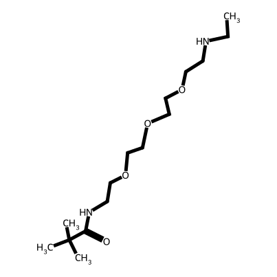 CCNCCOCCOCCOCCNC(=O)C(C)(C)C